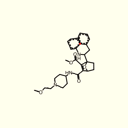 COCCN1CCC(NC(=O)C2=C(C(=O)OC)C3(C(Cc4ccccc4)Nc4ccccc4)CCC2O3)CC1